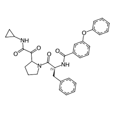 O=C(NC1CC1)C(=O)C1CCCN1C(=O)[C@H](Cc1ccccc1)NC(=O)c1cccc(Oc2ccccc2)c1